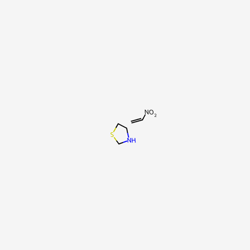 C1CSCN1.C=C[N+](=O)[O-]